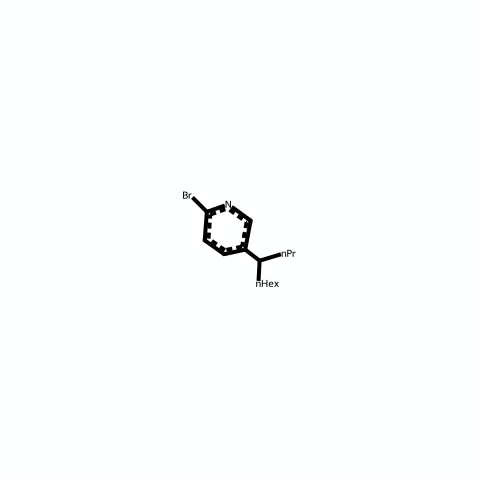 CCCCCCC(CCC)c1ccc(Br)nc1